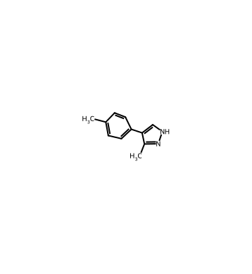 Cc1ccc(-c2c[nH]nc2C)cc1